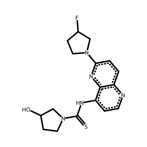 OC1CCN(C(=S)Nc2ccnc3ccc(N4CCC(F)C4)nc23)C1